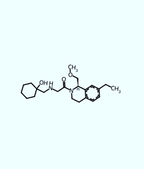 CCc1ccc2c(c1)[C@H](COC)N(C(=O)CNCC1(O)CCCCC1)CC2